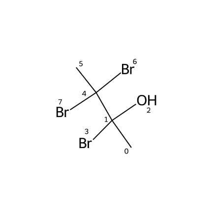 CC(O)(Br)C(C)(Br)Br